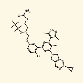 Cc1noc(C)c1-c1nc(-c2cc(OCC(CCOC(N)=O)O[Si](C)(C)C(C)(C)C)ccc2Cl)nc(N2Cc3cnc(C4CC4)nc3C2)c1C